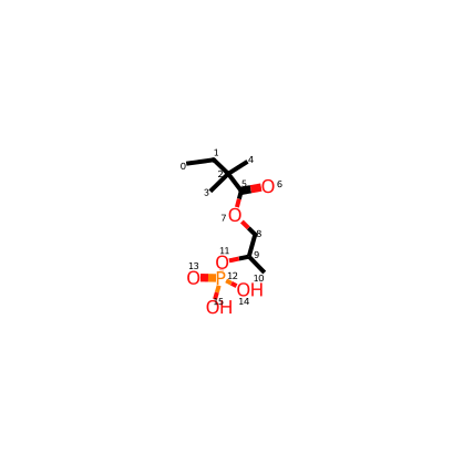 CCC(C)(C)C(=O)OCC(C)OP(=O)(O)O